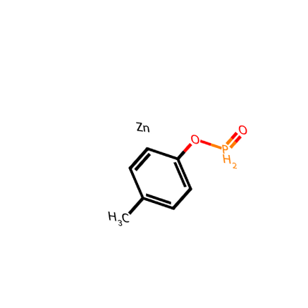 Cc1ccc(O[PH2]=O)cc1.[Zn]